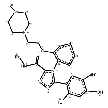 CC(C)NC(=O)c1nnc(-c2cc(C(C)C)c(O)cc2O)n1-c1ccccc1OCCN1CCN(C)CC1